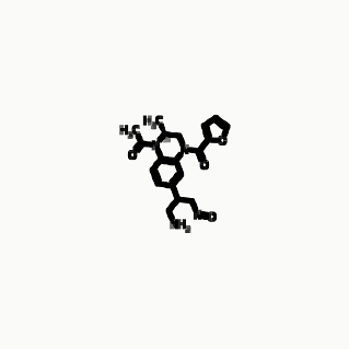 CC(=O)N1c2ccc(C(CN)CN=O)cc2N(C(=O)c2ccco2)C[C@@H]1C